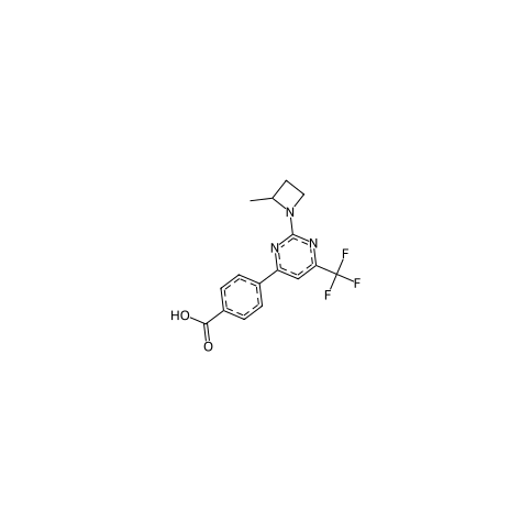 CC1CCN1c1nc(-c2ccc(C(=O)O)cc2)cc(C(F)(F)F)n1